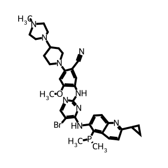 COc1cc(N2CCC(N3CCN(C)CC3)CC2)c(C#N)cc1Nc1ncc(Br)c(Nc2ccc3nc(C4CC4)ccc3c2P(C)C)n1